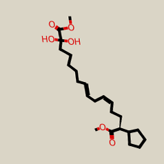 COC(=O)[C@@H](CC/C=C\C/C=C/CCCCCC(O)(O)C(=O)OC)C1CCCC1